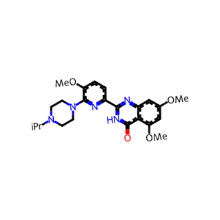 COc1cc(OC)c2c(=O)[nH]c(-c3ccc(OC)c(N4CCN(C(C)C)CC4)n3)nc2c1